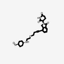 O=N[C@H]1CC[C@H](NCCOCCC#Cc2cccc3c2CN(C2CCC(=O)NC2=O)C3=O)CC1